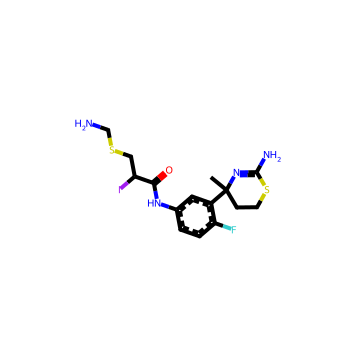 CC1(c2cc(NC(=O)C(I)CSCN)ccc2F)CCSC(N)=N1